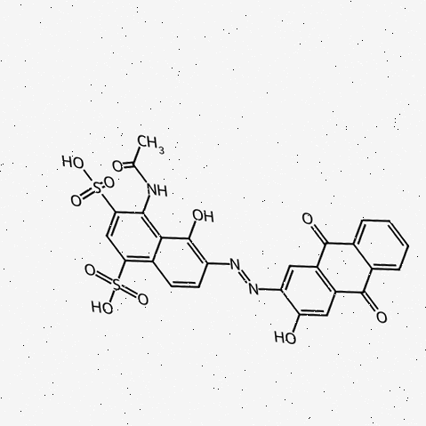 CC(=O)Nc1c(S(=O)(=O)O)cc(S(=O)(=O)O)c2ccc(N=Nc3cc4c(cc3O)C(=O)c3ccccc3C4=O)c(O)c12